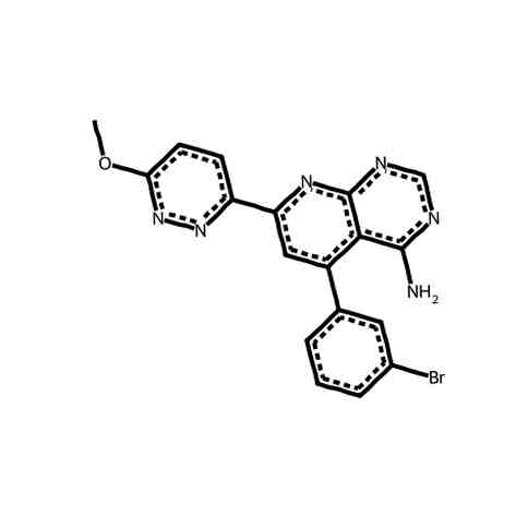 COc1ccc(-c2cc(-c3cccc(Br)c3)c3c(N)ncnc3n2)nn1